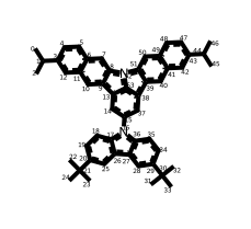 CC(C)c1ccc2cc3c(cc2c1)c1cc(-n2c4ccc(C(C)(C)C)cc4c4cc(C(C)(C)C)ccc42)cc2c4cc5cc(C(C)C)ccc5cc4n3c12